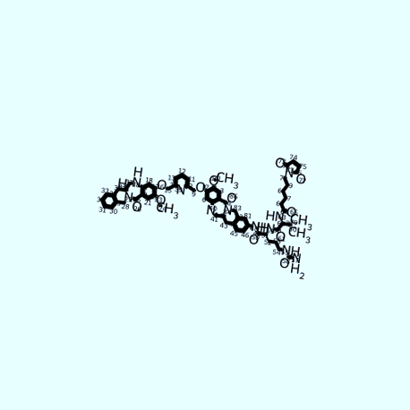 COc1cc2c(cc1OCc1cccc(COc3cc4c(cc3OC)C(=O)N3Cc5ccccc5C[C@H]3CN4)n1)N=CC1Cc3ccc(NC(=O)[C@H](CCCNC(N)=O)NC(=O)[C@@H](NC(=O)CCCCCN4C(=O)C=CC4=O)C(C)C)cc3CN1C2=O